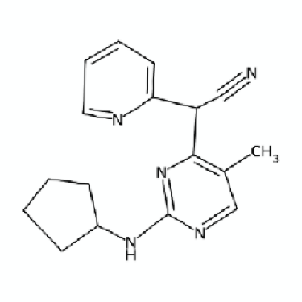 Cc1cnc(NC2CCCC2)nc1C(C#N)c1ccccn1